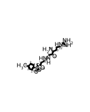 Cc1ccc(S(=O)(=O)SC(=O)CCNNCC(=O)C(N)CCCNC(=N)N)cc1